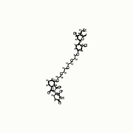 C=c1oc(-c2ccc(OCCOCCOCCOCCOc3cccc4c3C(=O)N(C3CCC(=O)NC3=O)C4=O)cc2Cl)cc(=O)/c1=C/CC